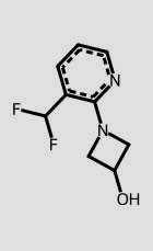 OC1CN(c2ncccc2C(F)F)C1